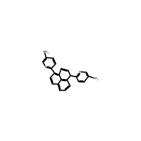 Nc1ccc(-c2ccc3cccc4c3c2C=CC4c2ccc(N)cn2)nc1